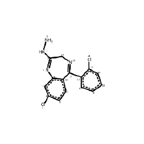 NNC1=Nc2cc(Cl)ccc2C(c2ccccc2Cl)=NC1